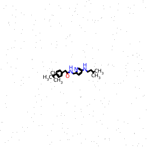 CC(C)CCNc1ccc(CNC(=O)Cc2ccc(C(C)(C)C)cc2)nc1